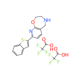 O=C(O)C(F)(F)F.O=C(O)C(F)(F)F.c1ccc2sc(-c3ccc4c(n3)OCCNC4)cc2c1